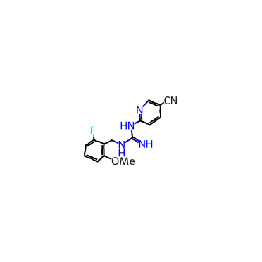 COc1cccc(F)c1CNC(=N)Nc1ccc(C#N)cn1